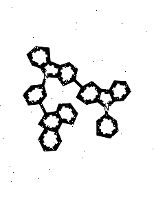 c1ccc(-n2c3ccccc3c3cc(-c4ccc5c6ccccc6n(-c6cccc(-c7cc8ccccc8c8ccccc78)c6)c5c4)ccc32)cc1